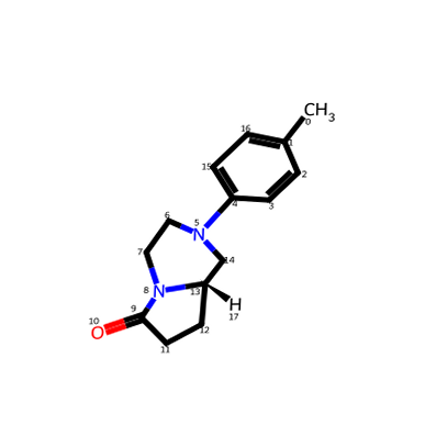 Cc1ccc(N2CCN3C(=O)CC[C@H]3C2)cc1